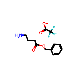 NCCCC(=O)OCc1ccccc1.O=C(O)C(F)(F)F